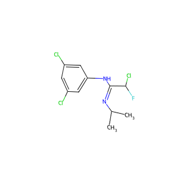 CC(C)N=C(Nc1cc(Cl)cc(Cl)c1)C(F)Cl